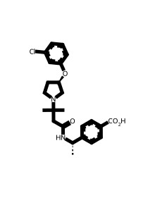 C[C@H](NC(=O)CC(C)(C)N1CC[C@@H](Oc2cccc(Cl)c2)C1)c1ccc(C(=O)O)cc1